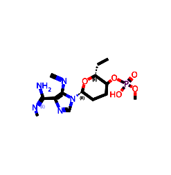 C=Nc1c(/C(N)=N\C)ncn1[C@H]1CCC(OP(=O)(O)OC)[C@@H](CC)O1